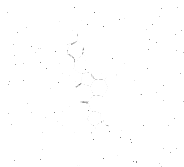 CC1CCC(C(=O)N2C[C@@H](F)[C@@H](F)C2)n2c1nn(Cc1ccc(C(F)(F)F)nc1)c2=O